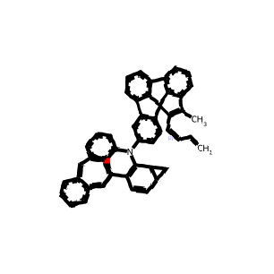 C=C/C=C\C1=C(C)c2cccc3c2C12c1ccc(N(C4=C(C5=CCC=c6ccccc6=C5)C=CC5CC45)c4ccccc4)cc1-c1cccc-3c12